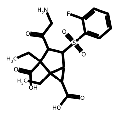 CCC1(C(=O)O)C(C(=O)CN)C(S(=O)(=O)c2ccccc2F)C2C(C(=O)O)C21CC